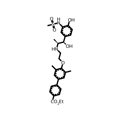 CCOC(=O)c1ccc(-c2cc(C)c(OCCN[C@@H](C)[C@H](O)c3ccc(O)c(NS(C)(=O)=O)c3)c(C)c2)cc1